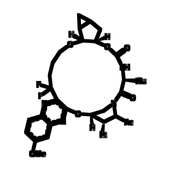 CC[C@H]1C(C(C)=O)N2C[C@@H]1Oc1nc3cc(OC)ccc3nc1C(F)(F)CCCO[C@@H]1C3CC3C[C@H]1OC(=O)N[C@@H](C(C)(C)C)C2=O